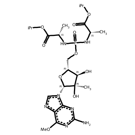 COc1nc(N)nc2c1ncn2[C@@H]1O[C@H](COP(=O)(N[C@@H](C)C(=O)OC(C)C)N[C@@H](C)C(=O)OC(C)C)[C@@H](O)[C@@]1(C)O